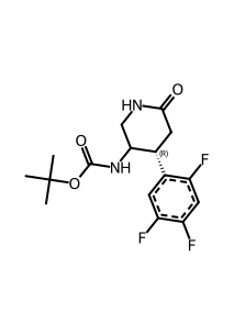 CC(C)(C)OC(=O)NC1CNC(=O)C[C@@H]1c1cc(F)c(F)cc1F